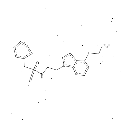 O=C(O)COc1cccc2c1ccn2CCNS(=O)(=O)Cc1ccccc1